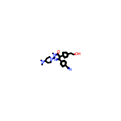 CN(C)C1CCN(c2nc(-c3ccc(C#N)cc3)c(-c3ccc(CCO)cc3)c(=O)n2C)CC1